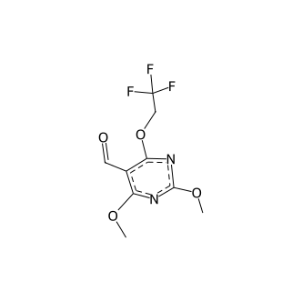 COc1nc(OC)c(C=O)c(OCC(F)(F)F)n1